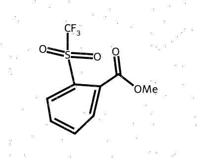 COC(=O)c1ccccc1S(=O)(=O)C(F)(F)F